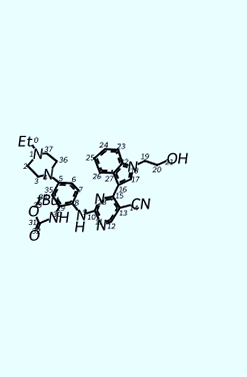 CCN1CCN(c2ccc(Nc3ncc(C#N)c(-c4cn(CCO)c5ccccc45)n3)c(NC(=O)OC(C)(C)C)c2)CC1